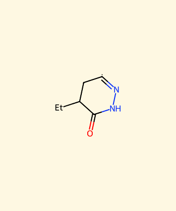 CCC1C[C]=NNC1=O